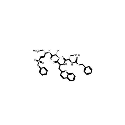 CC(C)[C@H](NC(=O)C(Cc1ccc2ccccc2n1)NC(=O)[C@H](CC(=O)O)NC(=O)OCc1ccccc1)C(=O)N[C@H](/C=C/S(=O)(=O)Oc1ccccc1)CC(=O)O